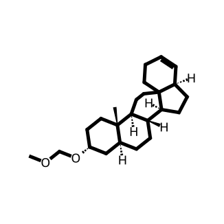 COCO[C@@H]1CC[C@@]2(C)[C@@H](CC[C@H]3[C@@H]4CC[C@@H]5C=CCCC54CC[C@@H]32)C1